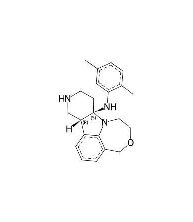 Cc1ccc(C)c(N[C@]23CCNC[C@H]2c2cccc4c2N3CCOC4)c1